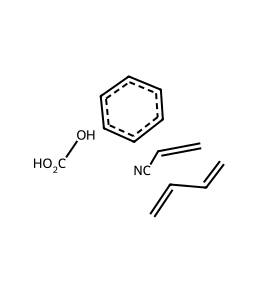 C=CC#N.C=CC=C.O=C(O)O.c1ccccc1